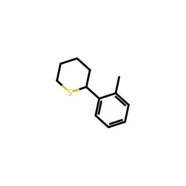 Cc1ccccc1C1CCCCS1